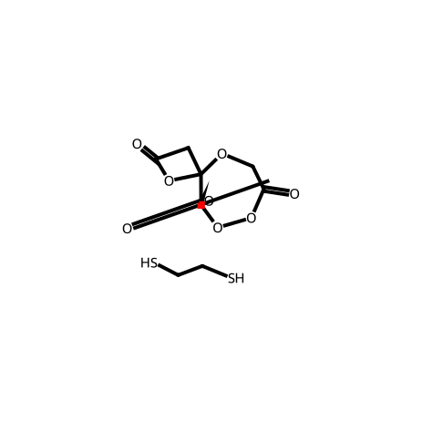 O=C1COC2(CC(=O)O2)C2(CC(=O)O2)OO1.SCCS